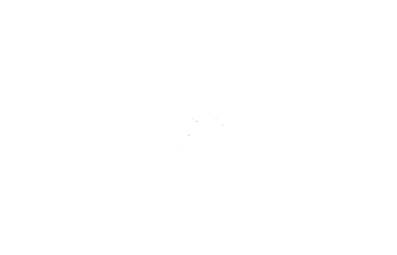 CCCC(F)N(c1cc(F)ccc1F)C(F)(F)C(F)(F)F